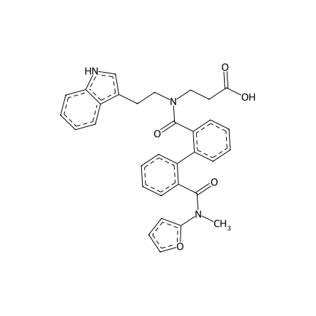 CN(C(=O)c1ccccc1-c1ccccc1C(=O)N(CCC(=O)O)CCc1c[nH]c2ccccc12)c1ccco1